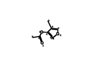 CC(=O)Oc1nocc1C